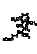 CCCCCCCCCCCCSC(C)CC(=O)[C@H]1[C@H](C)C=CCC1(C)C